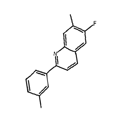 Cc1cccc(-c2ccc3cc(F)c(C)cc3n2)c1